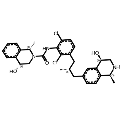 C[C@@H](Cc1ccc2c(c1)[C@@H](O)CN[C@H]2C)Cc1ccc(Cl)c(NC(=O)N2C[C@H](O)c3ccccc3[C@@H]2C)c1Cl